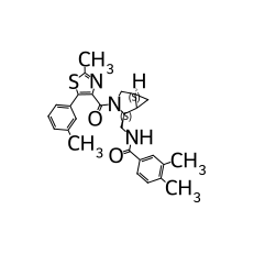 Cc1cccc(-c2sc(C)nc2C(=O)N2C[C@H]3CC3[C@H]2CNC(=O)c2ccc(C)c(C)c2)c1